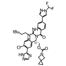 CC(C)(C)CCNC(=N)N(C(=O)c1ccc(-c2cnn(C(F)F)c2)cc1)[C@H](COC(=O)N1CC2(CC2)C1)c1ccc(Cl)c(-c2ncn[nH]2)c1